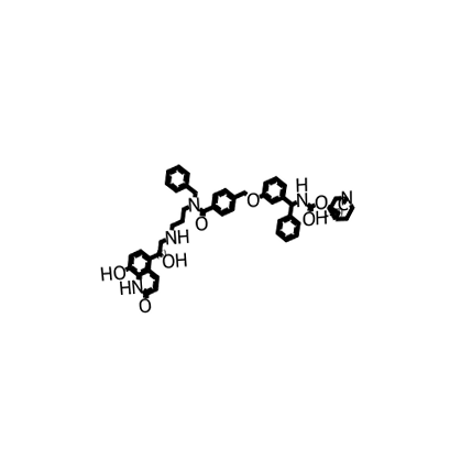 O=C(NC(c1ccccc1)c1cccc(OCc2ccc(C(=O)N(CCCNC[C@@H](O)c3ccc(O)c4[nH]c(=O)ccc34)Cc3ccccc3)cc2)c1)O[C@H]1CN2CCC1CC2